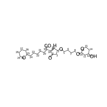 O=C1CC(OCCCCOC2CC(O)CCO2)C=C1C(CCCCCC1CCCCO1)C(=O)O